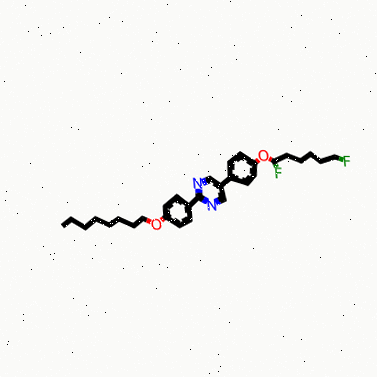 CCCCCCCCOc1ccc(-c2ncc(-c3ccc(OC(F)CCCCCF)cc3)cn2)cc1